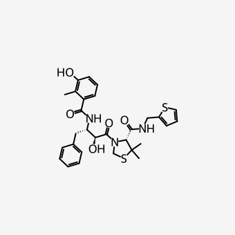 Cc1c(O)cccc1C(=O)N[C@@H](Cc1ccccc1)[C@H](O)C(=O)N1CSC(C)(C)[C@H]1C(=O)NCc1cccs1